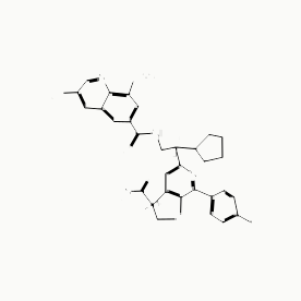 COc1cc(C(=O)NC[C@](O)(c2cc3c(c(-c4ccc(F)cc4)n2)OC[C@]3(C)C(N)=O)C2CCCC2)cc2cc(C(F)(F)F)cnc12